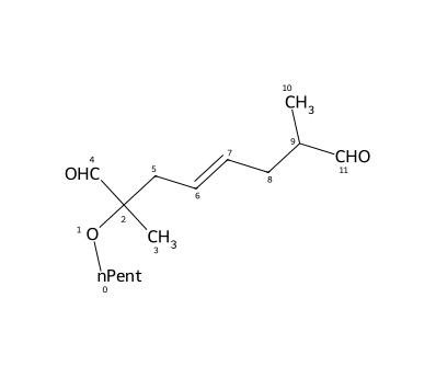 CCCCCOC(C)(C=O)CC=CCC(C)C=O